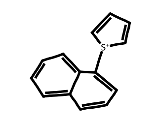 c1ccc2c(-[s+]3cccc3)cccc2c1